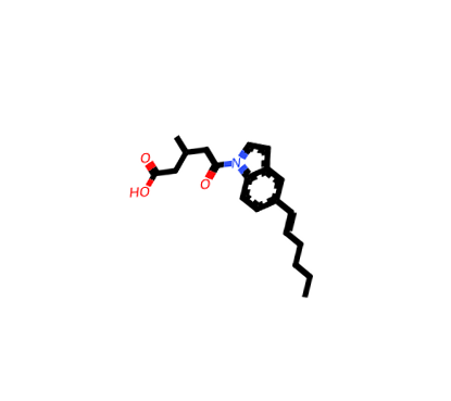 CCCC/C=C/c1ccc2c(ccn2C(=O)CC(C)CC(=O)O)c1